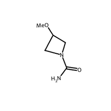 COC1CN(C(N)=O)C1